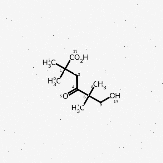 CC(C)(CC(=O)C(C)(C)CO)C(=O)O